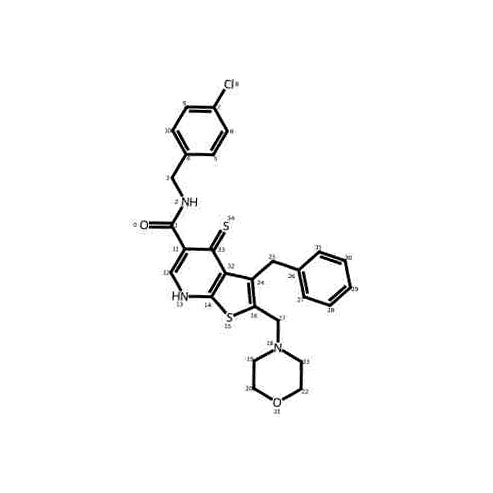 O=C(NCc1ccc(Cl)cc1)c1c[nH]c2sc(CN3CCOCC3)c(Cc3ccccc3)c2c1=S